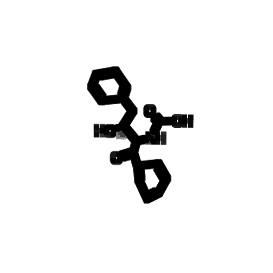 O=C(O)NC(C(=O)c1ccccc1)[C@@H](O)Cc1ccccc1